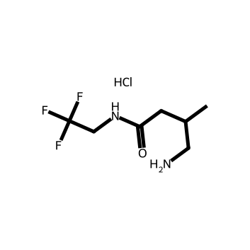 CC(CN)CC(=O)NCC(F)(F)F.Cl